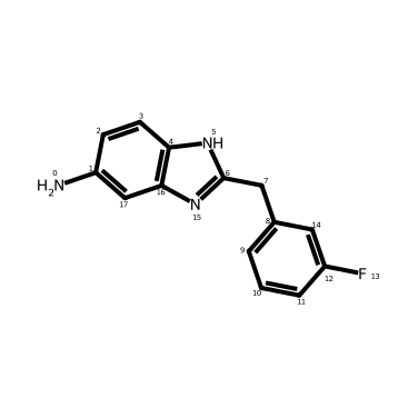 Nc1ccc2[nH]c(Cc3cccc(F)c3)nc2c1